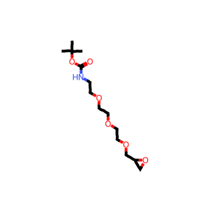 CC(C)(C)OC(=O)NCCOCCOCCOCC1CO1